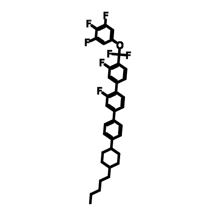 CCCCCC1CCC(c2ccc(-c3ccc(-c4ccc(C(F)(F)Oc5cc(F)c(F)c(F)c5)c(F)c4)c(F)c3)cc2)CC1